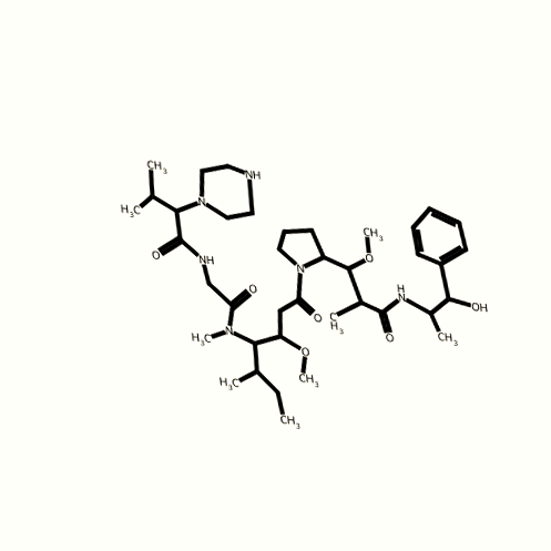 CCC(C)C(C(CC(=O)N1CCCC1C(OC)C(C)C(=O)NC(C)C(O)c1ccccc1)OC)N(C)C(=O)CNC(=O)C(C(C)C)N1CCNCC1